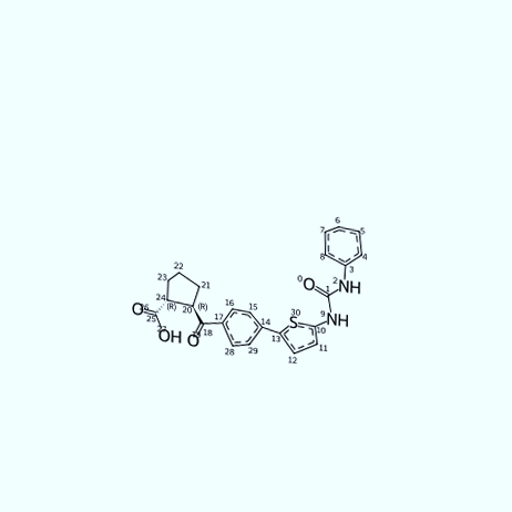 O=C(Nc1ccccc1)Nc1ccc(-c2ccc(C(=O)[C@@H]3CCC[C@H]3C(=O)O)cc2)s1